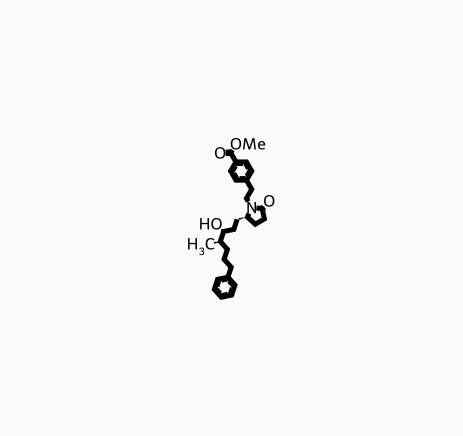 COC(=O)c1ccc(CCN2C(=O)CC[C@@H]2CC[C@@H](O)[C@@H](C)CCCc2ccccc2)cc1